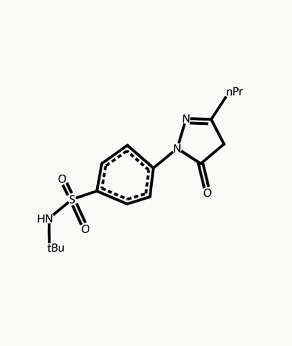 CCCC1=NN(c2ccc(S(=O)(=O)NC(C)(C)C)cc2)C(=O)C1